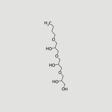 CCCCOCC(O)COCC(O)COCC(O)CO